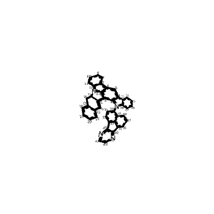 C1=C2c3c4c(cc5c6ccccc6n(c35)C2Cc2ccccc21)c1ccccc1n4-c1ccc2c3c(cccc13)-c1nccnc1-2